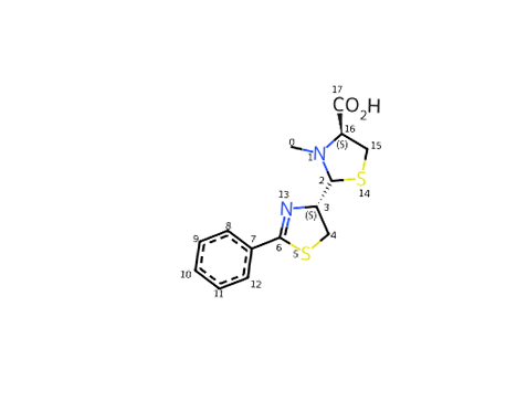 CN1C([C@@H]2CSC(c3ccccc3)=N2)SC[C@@H]1C(=O)O